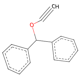 C#COC(c1ccccc1)c1ccccc1